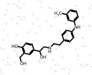 Cc1cccc(Nc2ccc(CCNCC(O)c3ccc(O)c(CO)c3)cc2)c1